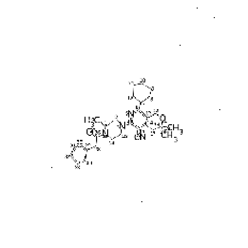 CC1CN(c2nc(C3CCCCC3)c3c(c2C#N)CC(C)(C)OC3)CCN1C(=O)Cc1ccccc1